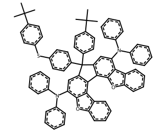 CC(C)(C)c1ccc(Sc2ccc(C3(c4ccc(C(C)(C)C)cc4)c4cc(N(c5ccccc5)c5ccccc5)c5c(oc6ccccc65)c4-c4c3cc(N(c3ccccc3)c3ccccc3)c3oc5ccccc5c43)cc2)cc1